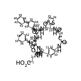 O=C(O)CCNC(=O)[C@@H]1Cc2ccc(cc2)NC(=O)CCC(=O)NC(C2CC=CS2)C(=O)N[C@@H](Cc2ccc(-c3ccccc3)cc2)C(=O)N[C@H](CCc2ccccc2)C(=O)N1